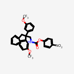 O=C(NCC(Cc1ccccc1)(c1cccc(OC(F)(F)F)c1)c1cccc(OC(F)(F)F)c1)Oc1ccc([N+](=O)[O-])cc1